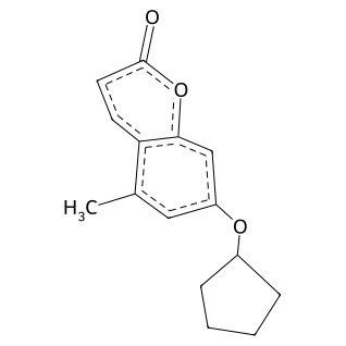 Cc1cc(OC2CCCC2)cc2oc(=O)ccc12